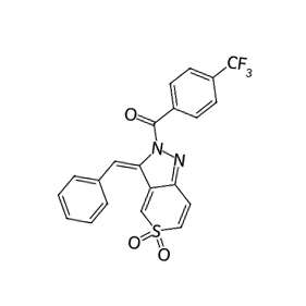 O=C(c1ccc(C(F)(F)F)cc1)n1nc2c(c1=Cc1ccccc1)=CS(=O)(=O)C=C2